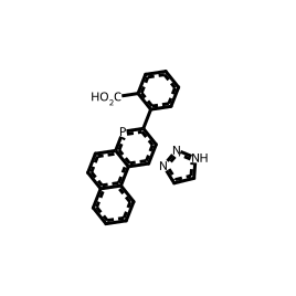 O=C(O)c1ccccc1-c1ccc2c(ccc3ccccc32)p1.c1c[nH]nn1